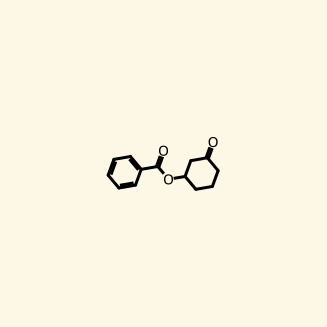 O=C1CCCC(OC(=O)c2ccccc2)C1